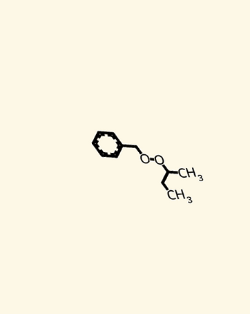 CCC(C)OOCc1ccccc1